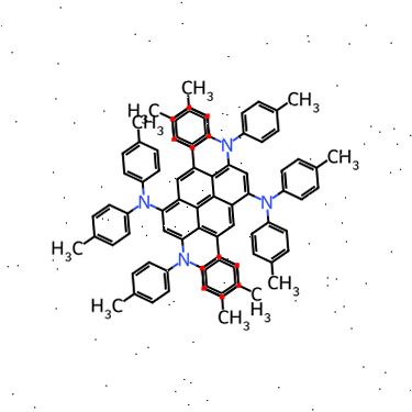 Cc1ccc(-c2cc3c(N(c4ccc(C)cc4)c4ccc(C)cc4)cc(N(c4ccc(C)cc4)c4ccc(C)cc4)c4c(-c5ccc(C)cc5)cc5c(N(c6ccc(C)cc6)c6ccc(C)cc6)cc(N(c6ccc(C)cc6)c6ccc(C)cc6)c2c5c34)cc1